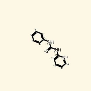 S=C(Nc1ccccc1)Nc1ccccn1